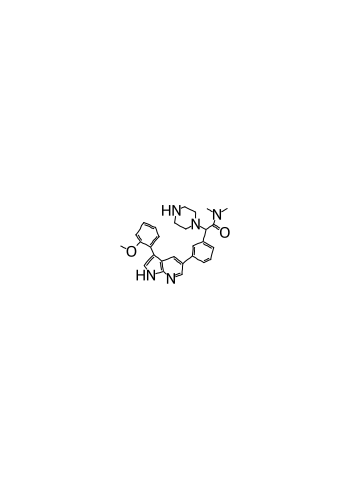 COc1ccccc1-c1c[nH]c2ncc(-c3cccc(C(C(=O)N(C)C)N4CCNCC4)c3)cc12